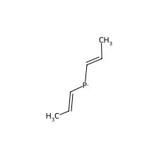 CC=C[P]C=CC